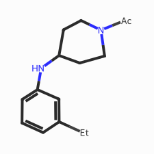 CCc1cccc(NC2CCN(C(C)=O)CC2)c1